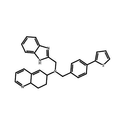 C1=CC2=CC(N(Cc3ccc(-c4cccs4)cc3)Cc3nc4ccccc4[nH]3)CCC2N=C1